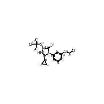 O=C1N(SC(Cl)(Cl)Cl)NC(C2CC2)N1c1cccc(OCCl)c1